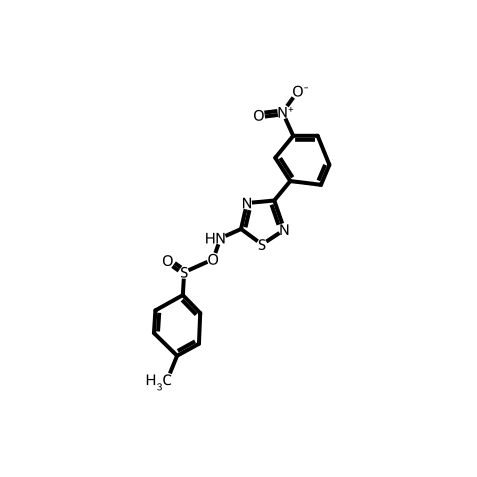 Cc1ccc(S(=O)ONc2nc(-c3cccc([N+](=O)[O-])c3)ns2)cc1